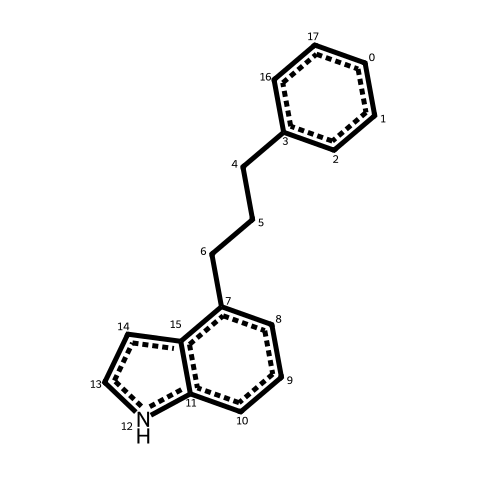 c1ccc(CCCc2cccc3[nH]ccc23)cc1